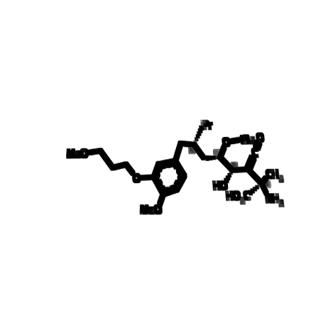 COCCCOc1cc(C[C@@H](C[C@H](OC(C)(C)C)[C@@H](O)C(=C=O)[C@@](C)(N)C(=O)O)C(C)C)ccc1OC